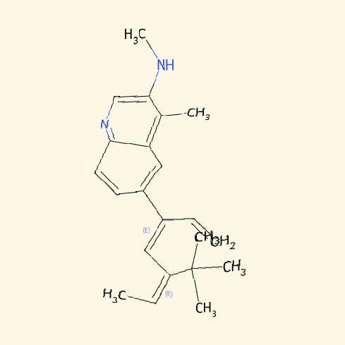 C=C/C(=C\C(=C/C)C(C)(C)C)c1ccc2ncc(NC)c(C)c2c1